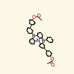 CC1OC1Oc1ccc(-c2cccc(B3c4ccccc4N4c5ccc(-c6ccc(OC7OC7C)cc6)cc5B(c5ccccc5)c5cccc3c54)c2)cc1